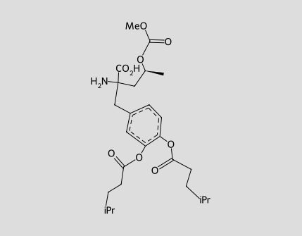 COC(=O)O[C@@H](C)CC(N)(Cc1ccc(OC(=O)CCC(C)C)c(OC(=O)CCC(C)C)c1)C(=O)O